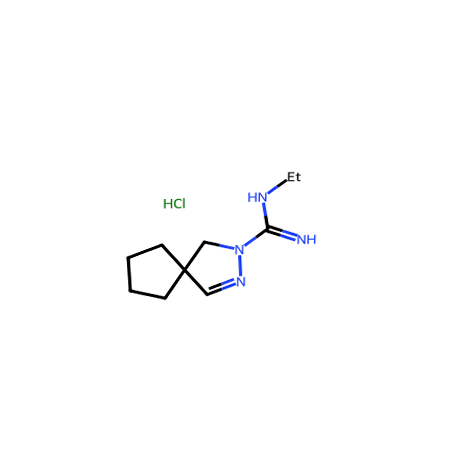 CCNC(=N)N1CC2(C=N1)CCCC2.Cl